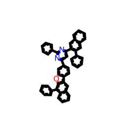 c1ccc(-c2nc(-c3ccc4c(c3)oc3c(-c5ccccc5)c5ccccc5cc34)cc(-c3cc4ccccc4cc3-c3ccccc3)n2)cc1